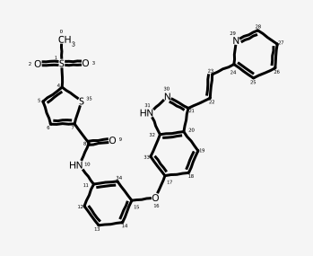 CS(=O)(=O)c1ccc(C(=O)Nc2cccc(Oc3ccc4c(/C=C/c5ccccn5)n[nH]c4c3)c2)s1